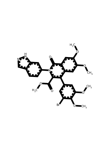 COC(=O)c1c(-c2cc(Br)c(OC)c(OC)c2)c2cc(OC)c(OC)cc2c(=O)n1-c1ccc2cn[nH]c2c1